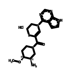 CO[C@@H]1CCN(C(=O)C2=CN(c3ncnc4[nH]ccc34)CCS2)C[C@@H]1N.Cl